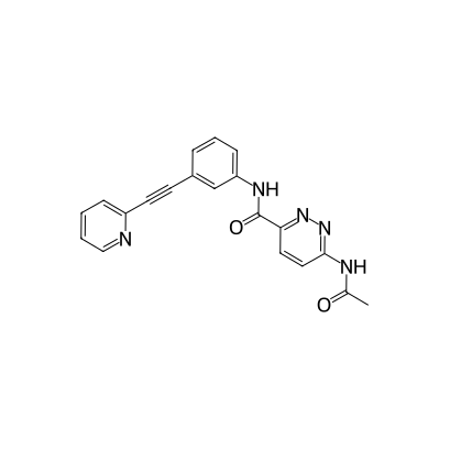 CC(=O)Nc1ccc(C(=O)Nc2cccc(C#Cc3ccccn3)c2)nn1